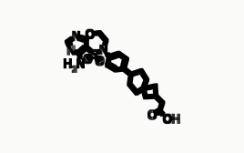 Nc1ncnc2c1S(=O)(=O)N(c1ccc(C3CCC4(CC3)CC(CC(=O)O)C4)cc1)CCO2